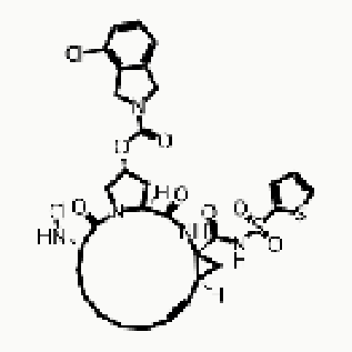 O=C1N[C@]2(C(=O)NS(=O)(=O)c3cccs3)C[C@H]2/C=C\CCCCC[C@H](NCl)C(=O)N2C[C@H](OC(=O)N3Cc4cccc(Cl)c4C3)C[C@@H]12